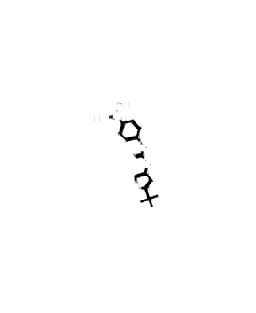 CC(C)(C)c1cc(NC(=O)Nc2ccc(B(O)O)cc2)co1